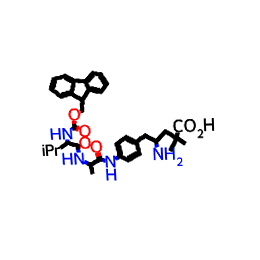 CC(NC(=O)C(NC(=O)OCC1c2ccccc2-c2ccccc21)C(C)C)C(=O)Nc1ccc(CC(N)CC(C)(C)C(=O)O)cc1